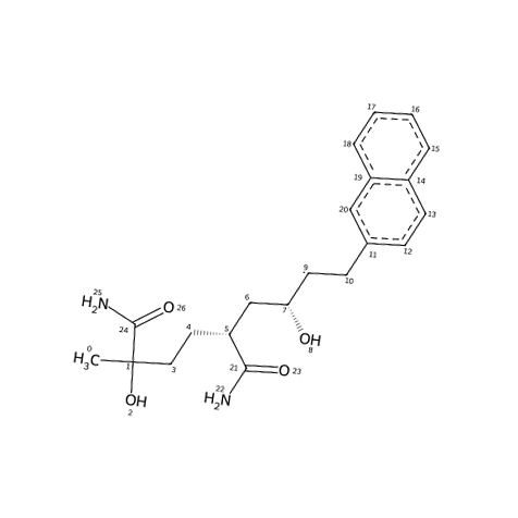 CC(O)(CC[C@H](C[C@@H](O)[CH]Cc1ccc2ccccc2c1)C(N)=O)C(N)=O